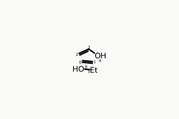 C=C.C=CO.CCO